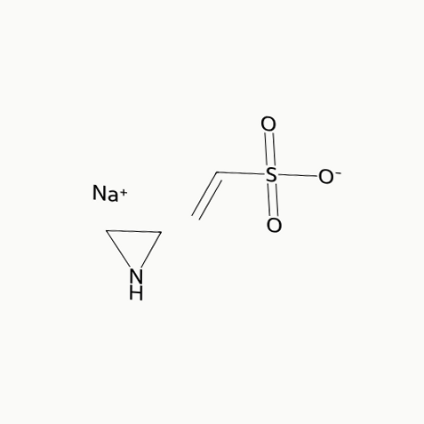 C1CN1.C=CS(=O)(=O)[O-].[Na+]